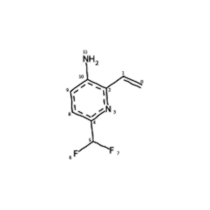 C=Cc1nc(C(F)F)ccc1N